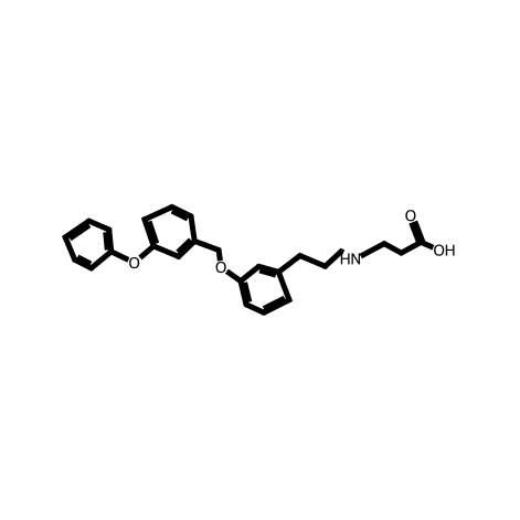 O=C(O)CCNCCCc1cccc(OCc2cccc(Oc3ccccc3)c2)c1